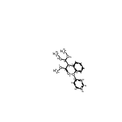 COC(=O)C(c1ccccc1Oc1ccncn1)C(OC)OC